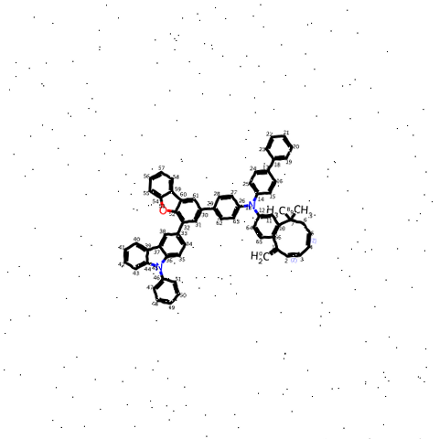 C=C1/C=C\C=C/CC(C)(C)c2cc(N(c3ccc(-c4ccccc4)cc3)c3ccc(-c4cc(-c5ccc6c(c5)c5ccccc5n6-c5ccccc5)c5oc6ccccc6c5c4)cc3)ccc21